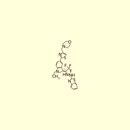 CCN1C/C(=C(\NNc2nc3ccccc3s2)C(F)(F)F)c2cc(-c3nc(CN4CCOCC4)cs3)ccc21